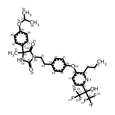 CCCc1nc(C(O)(C(F)(F)F)C(F)(F)F)ccc1Oc1ccc(CCN2C(=O)NC(C)(c3ccc(OC(C)C)cc3)C2=O)cc1